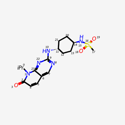 CC(C)n1c(=O)ccc2cnc(N[C@H]3CC[C@H](NS(C)(=O)=O)CC3)nc21